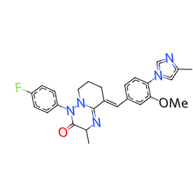 COc1cc(/C=C2\CCCN3C2=NC(C)C(=O)N3c2ccc(F)cc2)ccc1-n1cnc(C)c1